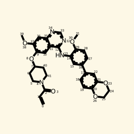 C=CC(=O)N1CCC(Oc2cc3c(Nc4cc(-c5ccc6c(c5)OCCO6)ccc4OC)ncnc3cc2OC)CC1